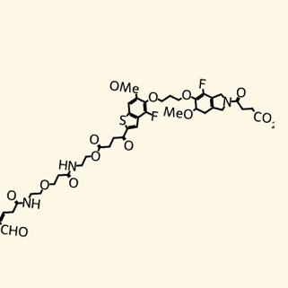 CN/C(C=O)=C/CC(=O)NCCOCCC(=O)NCCOC(=O)CCC(=O)c1cc2c(F)c(OCCCOC3=C(F)C4=C(CC3OC)CN(C(=O)CCC(=O)O)C4)c(OC)cc2s1